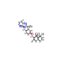 CCCc1nc2c(C)ccnc2n1Cc1ccc(OCc2c(C)cc3ccccc3c2C(=O)O)cc1